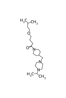 CC(C)CCOCCCC(=O)N1CCC(CN2CCN(C(C)C)CC2)CC1